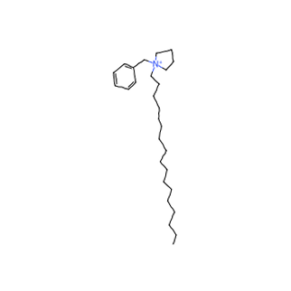 CCCCCCCCCCCCCCCCC[N+]1(Cc2ccccc2)CCCC1